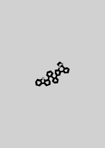 c1ccc(-c2ccccc2-c2cccc3c2oc2ccccc23)c(-c2ccc3c(c2)c2ccccc2c2nccn32)c1